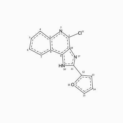 Clc1nc2ccccc2c2[nH]c(-c3ccco3)nc12